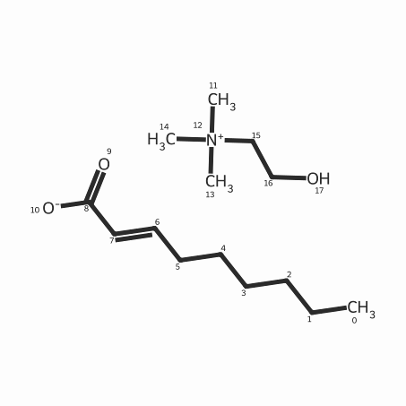 CCCCCCC=CC(=O)[O-].C[N+](C)(C)CCO